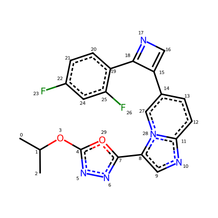 CC(C)Oc1nnc(-c2cnc3ccc(C4=CN=C4c4ccc(F)cc4F)cn23)o1